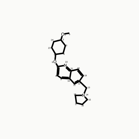 COC1CCC(Oc2ccc3cc(CN4CCCC4)ccc3n2)CC1